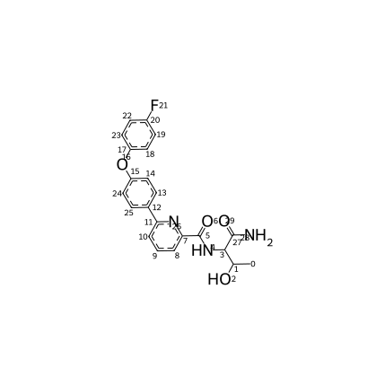 CC(O)C(NC(=O)c1cccc(-c2ccc(Oc3ccc(F)cc3)cc2)n1)C(N)=O